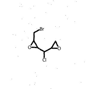 ClC(C1CO1)C1OC1CBr